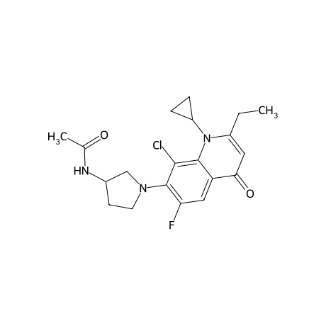 CCc1cc(=O)c2cc(F)c(N3CCC(NC(C)=O)C3)c(Cl)c2n1C1CC1